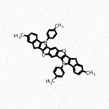 Cc1ccc(-n2c3c(c4oc5cc6c(cc5c42)oc2c4c(n(-c5ccc(C)cc5)c26)-c2ccc(C)cc2C4)Cc2cc(C)ccc2-3)cc1